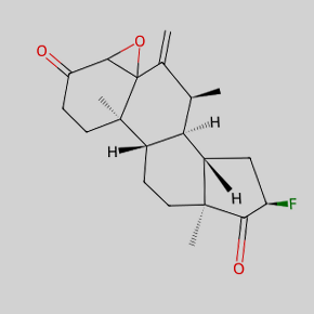 C=C1[C@@H](C)[C@H]2[C@@H]3C[C@@H](F)C(=O)[C@@]3(C)CC[C@@H]2[C@@]2(C)CCC(=O)C3OC132